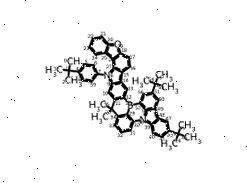 CC(C)(C)c1ccc(-n2c3cc4c(cc3c3ccc5oc6ccccc6c5c32)B2c3c(cccc3C4(C)C)-n3c4ccc(C(C)(C)C)cc4c4cc(C(C)(C)C)cc2c43)cc1